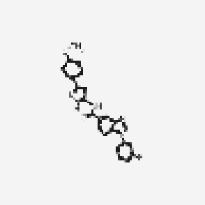 COc1ccc(-c2cc(NC(=O)c3ccc4c(c3)ncn4-c3cccc(F)c3)[nH]n2)cc1